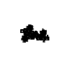 CCOC(=O)C(Cc1c[nH]c2ccccc12)NC(=O)C1OC(c2ccccc2Cl)c2cc(Cl)ccc2N(Cc2ccccc2)C1=O